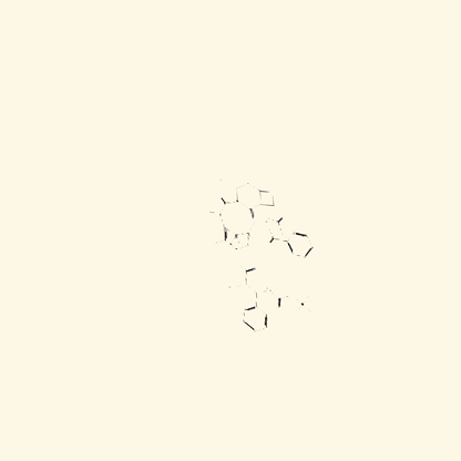 CC(=O)O[C@@]12CO[C@@H]1C[C@@H](O)[C@@]1(C)C(=O)[C@H](O)C3=C(C)[C@@H](OC(=O)[C@H](O)[C@@H](NC(=O)OC(C)(C)C)c4ccccc4)C[C@@](O)([C@@H](OC(=O)c4ccccc4)[C@H]21)C3(C)C